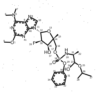 COc1nc(N(C)C)c2ncn([C@@H]3O[C@](C)(COP(=O)(N[C@@H](C)C(O)OC(C)C)Oc4ccccc4)[C@@H](O)[C@H]3F)c2n1